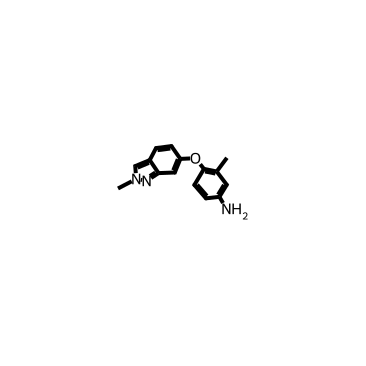 Cc1cc(N)ccc1Oc1ccc2cn(C)nc2c1